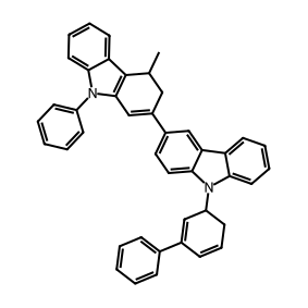 CC1CC(c2ccc3c(c2)c2ccccc2n3C2C=C(c3ccccc3)C=CC2)=Cc2c1c1ccccc1n2-c1ccccc1